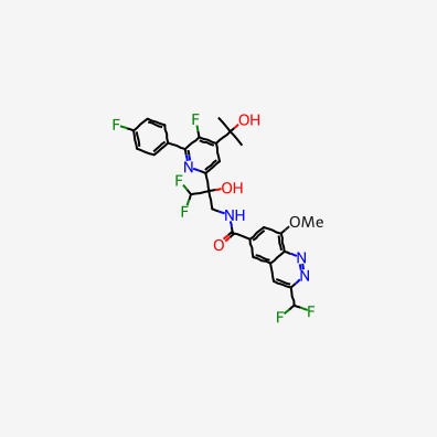 COc1cc(C(=O)NCC(O)(c2cc(C(C)(C)O)c(F)c(-c3ccc(F)cc3)n2)C(F)F)cc2cc(C(F)F)nnc12